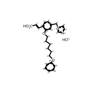 Cl.O=C(O)C=Cc1ccc(Cn2ccnc2)cc1OCCCCCCOc1ccccc1